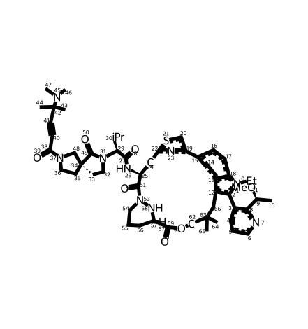 CCn1c(-c2cccnc2[C@H](C)OC)c2c3cc(ccc31)-c1csc(n1)C[C@H](NC(=O)[C@H](C(C)C)N1CC[C@@]3(CCN(C(=O)C#CC(C)(C)N(C)C)C3)C1=O)C(=O)N1CCC[C@H](N1)C(=O)OCC(C)(C)C2